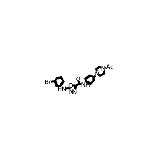 CC(=O)N1CCN(c2ccc(NC(=O)c3nnc(Nc4cccc(Br)c4)o3)cc2)CC1